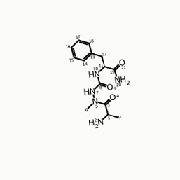 C[C@@H](N)C(=O)N(C)NC(=O)N[C@@H](Cc1ccccc1)C(N)=O